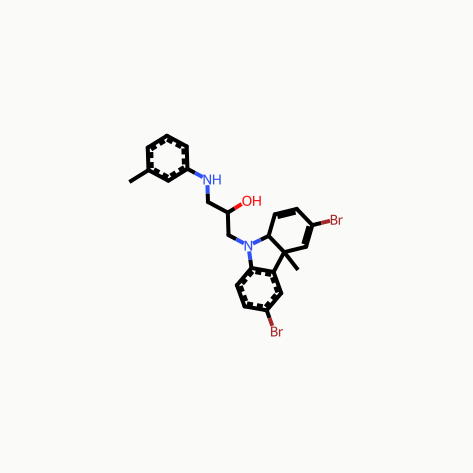 Cc1cccc(NCC(O)CN2c3ccc(Br)cc3C3(C)C=C(Br)C=CC23)c1